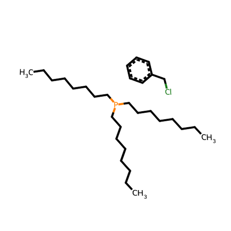 CCCCCCCCP(CCCCCCCC)CCCCCCCC.ClCc1ccccc1